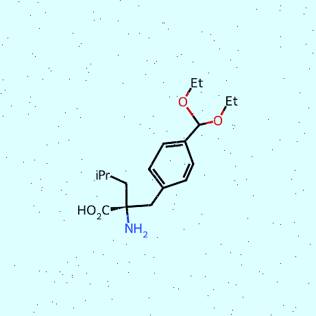 CCOC(OCC)c1ccc(C[C@](N)(CC(C)C)C(=O)O)cc1